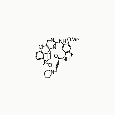 COc1cc(F)c(NC(=O)C#CCN2CCCC2)cc1Nc1ncc(Cl)c(Nc2ccccc2P(C)(C)=O)n1